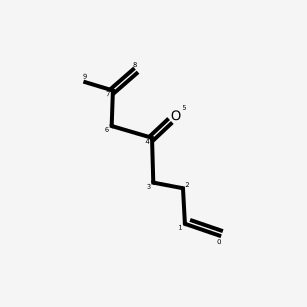 C=CCCC(=O)CC(=C)C